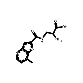 Cc1ccnc2cc(C(=O)NCC(N)C(=O)O)sc12